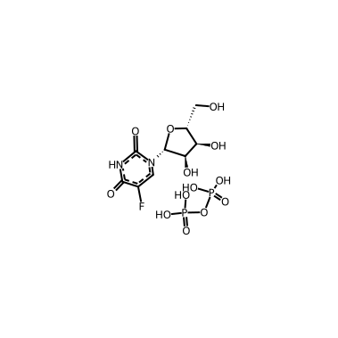 O=P(O)(O)OP(=O)(O)O.O=c1[nH]c(=O)n([C@@H]2O[C@H](CO)[C@@H](O)[C@H]2O)cc1F